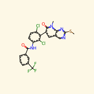 CSc1ncc2cc(-c3c(Cl)ccc(NC(=O)c4cccc(C(F)(F)F)c4)c3Cl)c(=O)n(C)c2n1